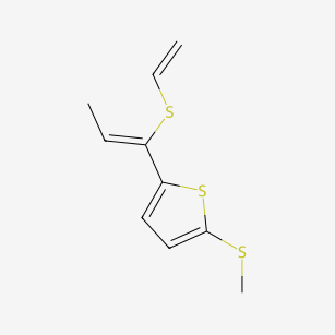 C=CS/C(=C\C)c1ccc(SC)s1